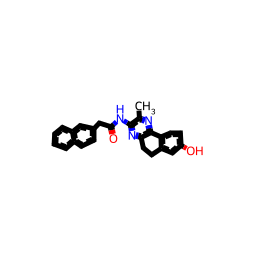 Cc1nc2c(nc1NC(=O)Cc1ccc3ccccc3c1)CCc1cc(O)ccc1-2